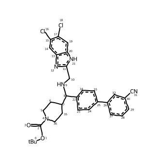 CC(C)(C)OC(=O)N1CCC(C(NCc2nc3cc(Cl)c(Cl)cc3[nH]2)c2ccc(-c3cccc(C#N)c3)cc2)CC1